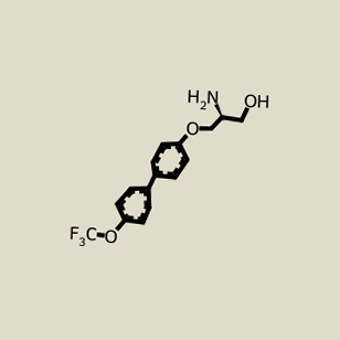 N[C@@H](CO)COc1ccc(-c2ccc(OC(F)(F)F)cc2)cc1